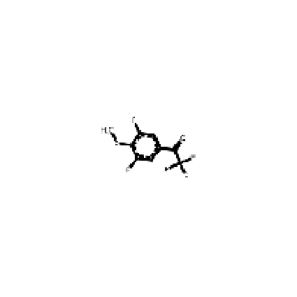 COc1c(F)cc(C(=O)C(F)(F)F)cc1F